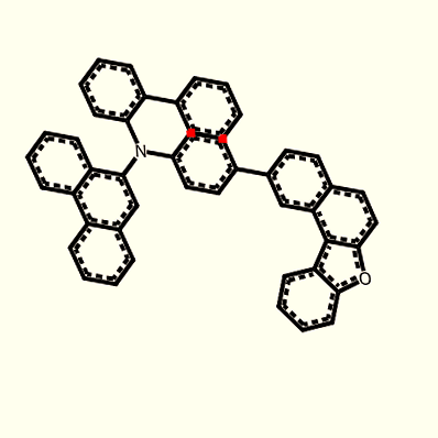 c1ccc(-c2ccccc2N(c2ccc(-c3ccc4ccc5oc6ccccc6c5c4c3)cc2)c2cc3ccccc3c3ccccc23)cc1